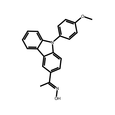 COc1ccc(-n2c3ccccc3c3cc(C(C)=NO)ccc32)cc1